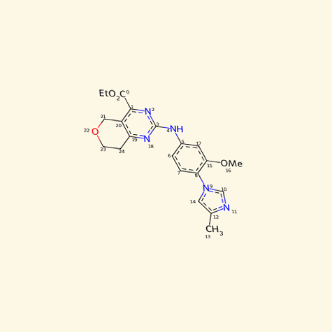 CCOC(=O)c1nc(Nc2ccc(-n3cnc(C)c3)c(OC)c2)nc2c1COCC2